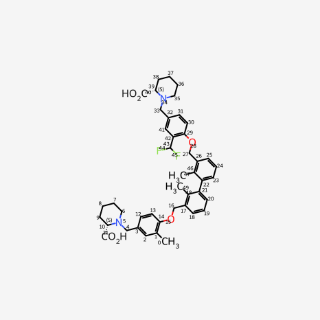 Cc1cc(CN2CCCC[C@H]2C(=O)O)ccc1OCc1cccc(-c2cccc(COc3ccc(CN4CCCC[C@H]4C(=O)O)cc3C(F)F)c2C)c1C